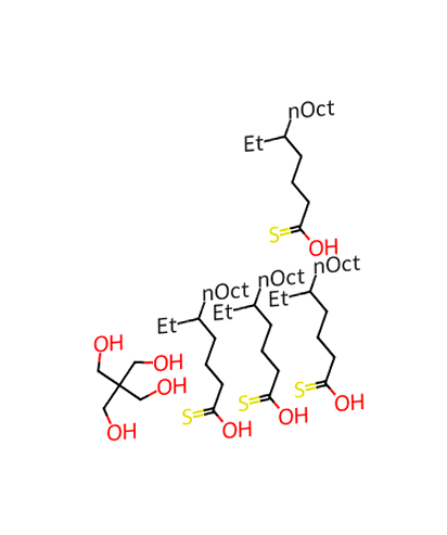 CCCCCCCCC(CC)CCCC(O)=S.CCCCCCCCC(CC)CCCC(O)=S.CCCCCCCCC(CC)CCCC(O)=S.CCCCCCCCC(CC)CCCC(O)=S.OCC(CO)(CO)CO